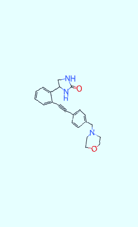 O=C1NCC(c2ccccc2C#Cc2ccc(CN3CCOCC3)cc2)N1